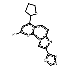 CC(C)c1cc(C2CCCO2)c2ccc3nc(-c4nnco4)cn3c2n1